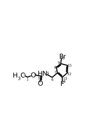 CCOC(=O)NCc1cc(Br)ccc1F